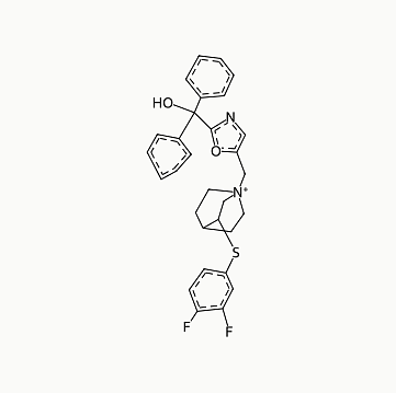 OC(c1ccccc1)(c1ccccc1)c1ncc(C[N+]23CCC(CC2)C(Sc2ccc(F)c(F)c2)C3)o1